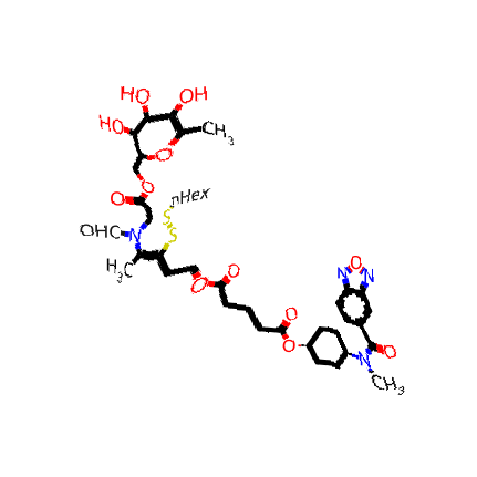 CCCCCCSS/C(CCOC(=O)CCCC(=O)O[C@H]1CC[C@H](N(C)C(=O)c2ccc3nonc3c2)CC1)=C(/C)N(C=O)CC(=O)OCC1OC(C)C(O)C(O)C1O